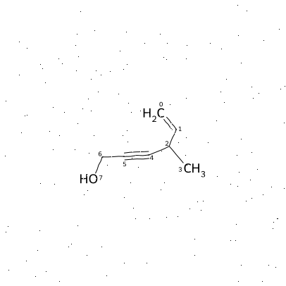 C=CC(C)C#CCO